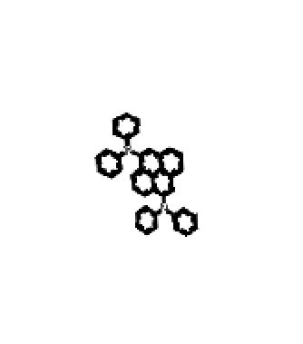 c1ccc(N(c2ccccc2)c2cc3cccc4cc(N(c5ccccc5)c5ccccc5)c5cccc2c5c34)cc1